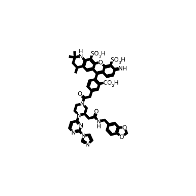 CC1CC(C)(C)Nc2c1cc1c(-c3ccc(CC(=O)N4CCN(c5ccnc(-n6ccnc6)n5)C(CC(=O)NCc5ccc6c(c5)OCO6)C4)cc3C(=O)O)c3ccc(=N)c(S(=O)(=O)O)c-3oc1c2S(=O)(=O)O